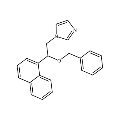 c1ccc(COC(Cn2ccnc2)c2cccc3ccccc23)cc1